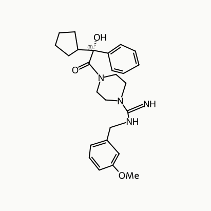 COc1cccc(CNC(=N)N2CCN(C(=O)[C@](O)(c3ccccc3)C3CCCC3)CC2)c1